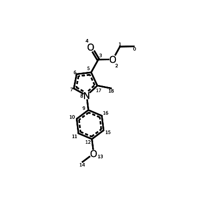 CCOC(=O)c1ccn(-c2ccc(OC)cc2)c1C